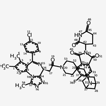 Cc1sc2c(c1C)C(c1ccc(Cl)cc1)=N[C@@H](CC(=O)N1CCC(CN3CC4CC(C3)N4c3cc4c(cc3F)C(=O)N(C3CCC(=O)NC3=O)C4=O)CC1)c1nnc(C)n1-2